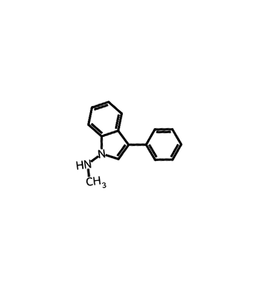 CNn1cc(-c2ccccc2)c2ccccc21